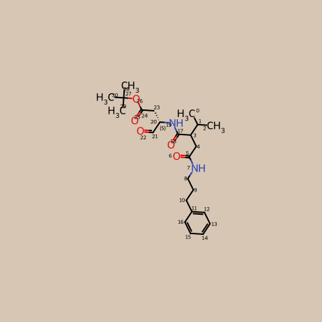 CC(C)C(CC(=O)NCCCc1ccccc1)C(=O)N[C@H](C=O)CC(=O)OC(C)(C)C